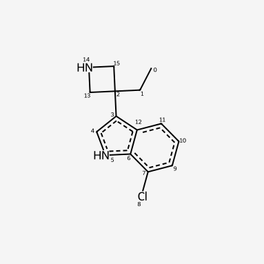 CCC1(c2c[nH]c3c(Cl)cccc23)CNC1